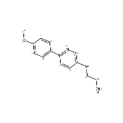 COc1ccc(-c2ccc(CCCO)cn2)cc1